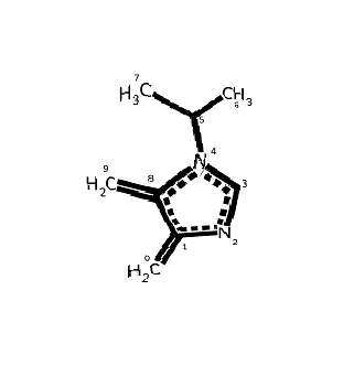 C=c1ncn(C(C)C)c1=C